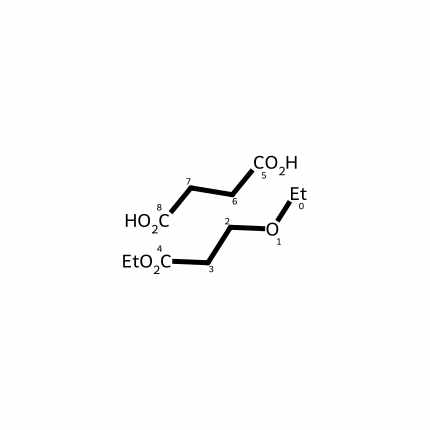 CCOCCC(=O)OCC.O=C(O)CCC(=O)O